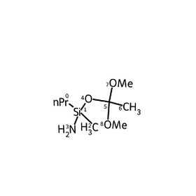 CCC[Si](C)(N)OC(C)(OC)OC